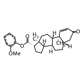 COc1ccccc1OC(=O)[C@H]1CC[C@H]2[C@@H]3CC[C@H]4CC(=O)C=C[C@]4(C)[C@H]3CC[C@]12C